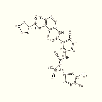 O=C(Nc1ccc(F)c(NC(=O)C2CCOC2)c1F)c1cc(NC(=O)[C@H]2[C@H](c3ccc(F)c(C(F)(F)F)c3)C2(Cl)Cl)ccc1Cl